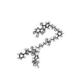 CS(=O)(=O)n1ccc(C(=O)N[C@@H](CCOCCCC(=O)NCCOCc2cccc(COCCOc3ccc4c(c3)C(=O)N(C3CCC(=O)NC3=O)C4=O)c2)C(=O)Nc2nc(-c3ccccc3)cs2)c1